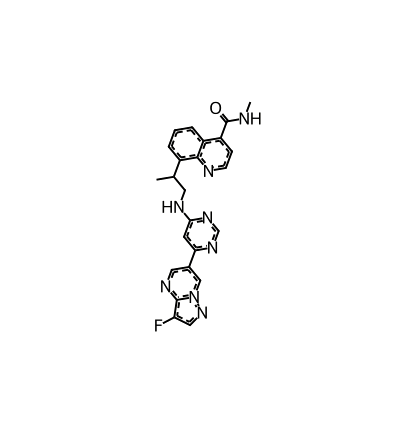 CNC(=O)c1ccnc2c(C(C)CNc3cc(-c4cnc5c(F)cnn5c4)ncn3)cccc12